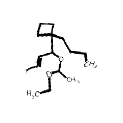 CCCCC1(C(C=CI)OC(C)OCC)CCC1